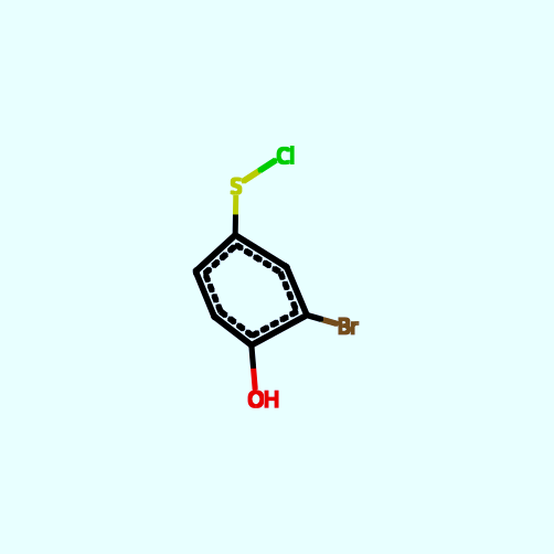 Oc1ccc(SCl)cc1Br